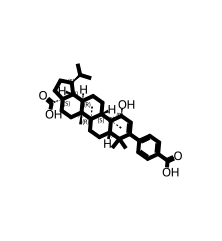 CC(C)[C@@H]1CC[C@]2(C(=O)O)CC[C@]3(C)[C@H](CC[C@@H]4[C@@]5(C)[C@H](O)C=C(c6ccc(C(=O)O)cc6)C(C)(C)[C@@H]5CC[C@]43C)[C@@H]12